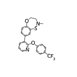 CN1CCOc2ccc(-c3cccnc3Oc3ccc(C(F)(F)F)cc3)cc2S1